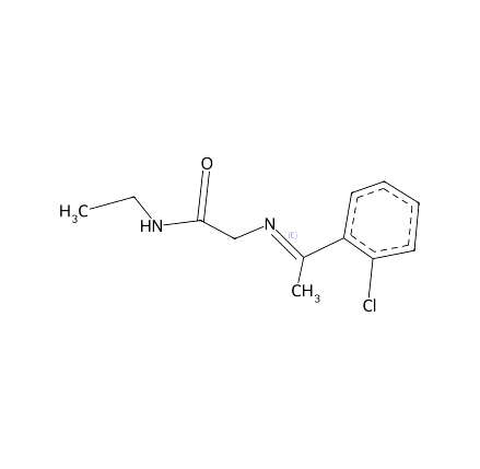 CCNC(=O)C/N=C(\C)c1ccccc1Cl